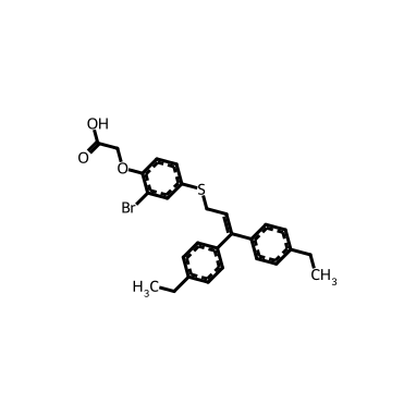 CCc1ccc(C(=CCSc2ccc(OCC(=O)O)c(Br)c2)c2ccc(CC)cc2)cc1